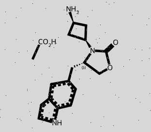 CC(=O)O.N[C@H]1C[C@@H](N2C(=O)OC[C@@H]2Cc2ccc3[nH]ccc3c2)C1